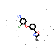 CC(C)(C)c1coc(-c2cccc(Oc3ccc(N)cc3Cl)c2)n1